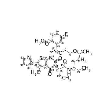 CCOCCO[C@@H](Cn1c(=O)n([C@@H](CC)C(=O)NC(CC)CC)c(=O)c2c(C)c(-n3cccn3)sc21)c1cc(F)ccc1OC